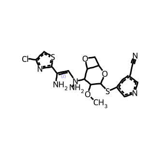 COC1C(Sc2cncc(C#N)c2)OC2COC2C1N(N)/C=C(\N)c1nc(Cl)cs1